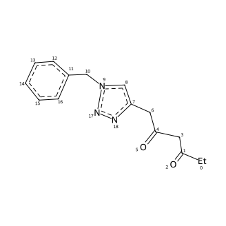 CCC(=O)CC(=O)Cc1cn(Cc2ccccc2)nn1